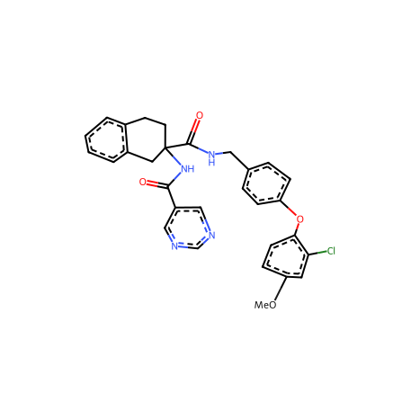 COc1ccc(Oc2ccc(CNC(=O)C3(NC(=O)c4cncnc4)CCc4ccccc4C3)cc2)c(Cl)c1